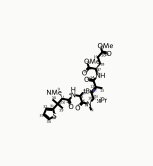 CN[C@H](C(=O)NC(C(=O)N(C)[C@H](/C=C(\C)C(=O)N[C@H](CCC(=O)OC)C(=O)OC)C(C)C)C(C)(C)C)C(C)(C)c1cccs1